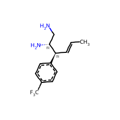 CC=C[C@@H](c1ccc(C(F)(F)F)cc1)[C@H](N)CN